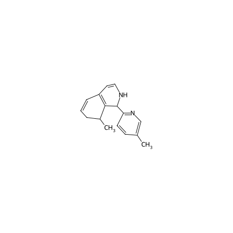 Cc1ccc(C2NC=CC3=C2C(C)CC=C3)nc1